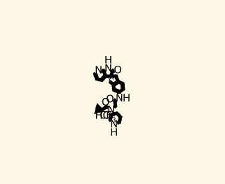 O=C(CN(C(=O)C1(C(F)(F)F)CC1)[C@]1(O)CCCNC1)Nc1ccc2c(c1)C[C@@]1(C2)C(=O)Nc2ncccc21